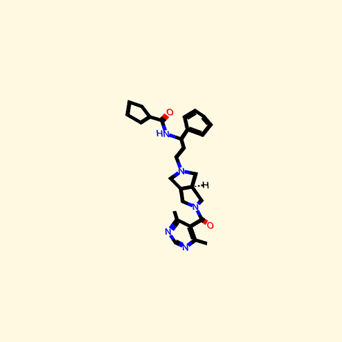 Cc1ncnc(C)c1C(=O)N1CC2CN(CCC(NC(=O)C3CCCC3)c3ccccc3)C[C@H]2C1